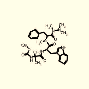 CN(C(=O)C(Cc1c[nH]c2ccccc12)NC(=O)C(C)(C)NC(=O)OC(C)(C)C)C(Cc1ccccc1)C(=O)N(C)N(C)C